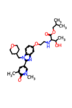 Cc1cc(-c2nc3cc(OCCNC(C(=O)OCC(C)C)C(C)O)ccc3n2CC2CCOCC2)cn(C)c1=O